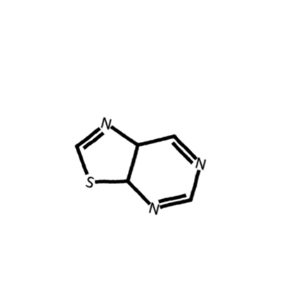 C1=NC=NC2SC=NC12